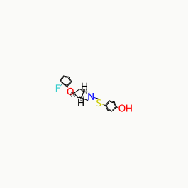 Oc1ccc(SCN2C[C@H]3C[C@H](Oc4ccccc4F)C[C@H]3C2)cc1